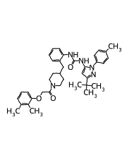 Cc1ccc(-n2nc(C(C)(C)C)cc2NC(=O)Nc2ccccc2CC2CCN(C(=O)COc3cccc(C)c3C)CC2)cc1